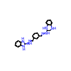 C(=N\NC1CNc2ccccc2N1)/c1cccc(/C=N/NC2Nc3ccccc3N2)c1